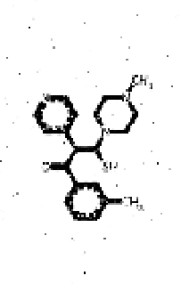 Cc1cccc(C(=O)C(c2ccncc2)C(S)N2CCN(C)CC2)c1